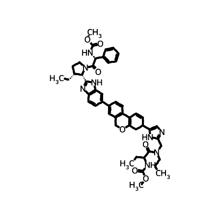 CCCN(Cc1ncc(C2C=CC3=C(C2)OCc2cc(-c4ccc5nc([C@@H]6[C@H](CC)CCN6C(=O)[C@H](NC(=O)OC)c6ccccc6)[nH]c5c4)ccc23)[nH]1)C(=O)C(CC)NC(=O)OC